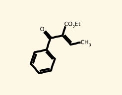 CC=C(C(=O)OCC)C(=O)c1ccccc1